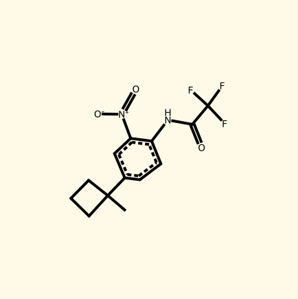 CC1(c2ccc(NC(=O)C(F)(F)F)c([N+](=O)[O-])c2)CCC1